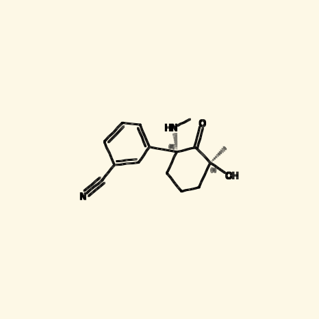 CN[C@@]1(c2cccc(C#N)c2)CCC[C@](C)(O)C1=O